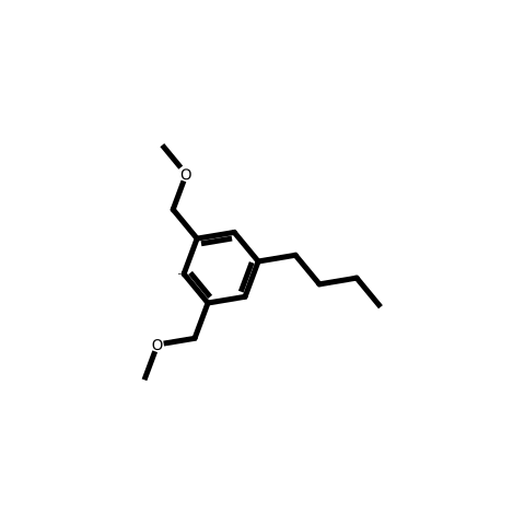 CCCCc1cc(COC)[c]c(COC)c1